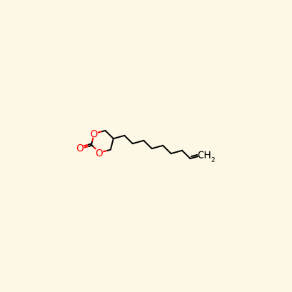 C=CCCCCCCCC1COC(=O)OC1